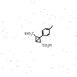 CCOC(=O)[C@@H]1C2[C@@H](C(=O)OCC)C21c1ccc(F)cc1